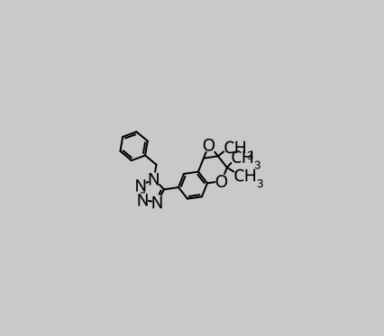 CC1(C)Oc2ccc(-c3nnnn3Cc3ccccc3)cc2C2OC21C